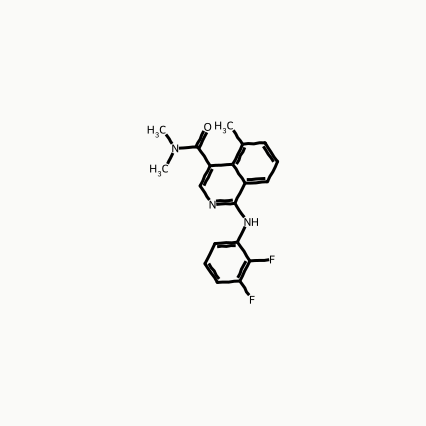 Cc1cccc2c(Nc3cccc(F)c3F)ncc(C(=O)N(C)C)c12